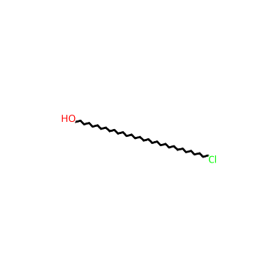 OCCCCCCCCCCCCCCCCCCCCCCCCCCCCCCCCCl